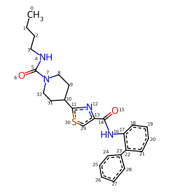 CCCCNC(=O)N1CCC(c2nc(C(=O)Nc3ccccc3-c3ccccc3)cs2)CC1